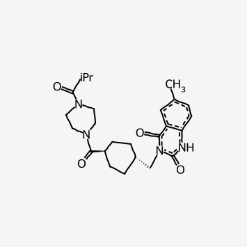 Cc1ccc2[nH]c(=O)n(C[C@H]3CC[C@H](C(=O)N4CCN(C(=O)C(C)C)CC4)CC3)c(=O)c2c1